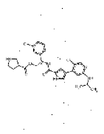 CC(C)Nc1cc(-c2c[nH]c(C(=O)N[C@H](COC(=O)C3CCNC3)c3cccc(Cl)c3)c2)c(Cl)cn1